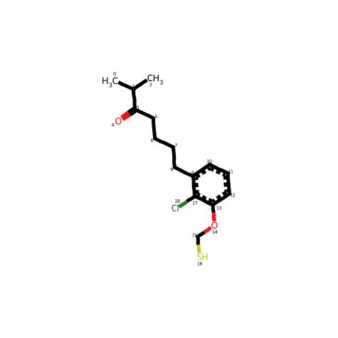 CC(C)C(=O)CCCCc1cccc(OCS)c1Cl